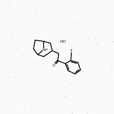 Cl.O=C(CC1CC2CCC(C1)N2)c1ccccc1F